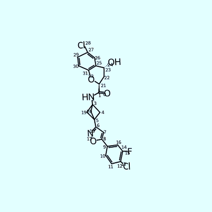 O=C(NC12CC(c3cc(-c4ccc(Cl)c(F)c4)on3)(C1)C2)[C@@H]1C[C@@H](O)c2cc(Cl)ccc2O1